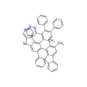 Cc1cc2c(c(-c3c(-c4ccccc4)cc4[se]c5ccccc5c4c3-c3ccc(-c4ccccc4)c(-c4ccccc4)c3-c3ccnnn3)c1C)Cc1ccccc1-2